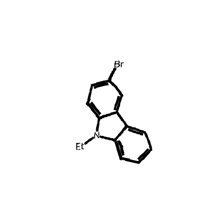 CCn1c2ccccc2c2cc(Br)ccc21